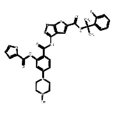 CN1CCN(c2ccc(C(=O)Nc3n[nH]c4sc(C(=O)NC(C)(C)c5ccccc5F)cc34)c(NC(=O)c3ccco3)c2)CC1